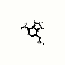 BCc1ccc(BC)c2nsnc12